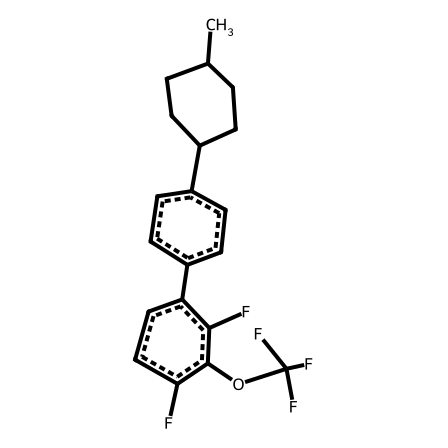 CC1CCC(c2ccc(-c3ccc(F)c(OC(F)(F)F)c3F)cc2)CC1